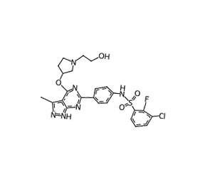 Cc1n[nH]c2nc(-c3ccc(NS(=O)(=O)c4cccc(Cl)c4F)cc3)nc(OC3CCN(CCO)C3)c12